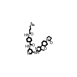 CN(C)C/C=C/C(=O)Nc1ccc(C(=O)Nc2cncc(Nc3cc4c(cn3)-c3ccc(N5CCCC5=O)cc3OC4)c2)cc1